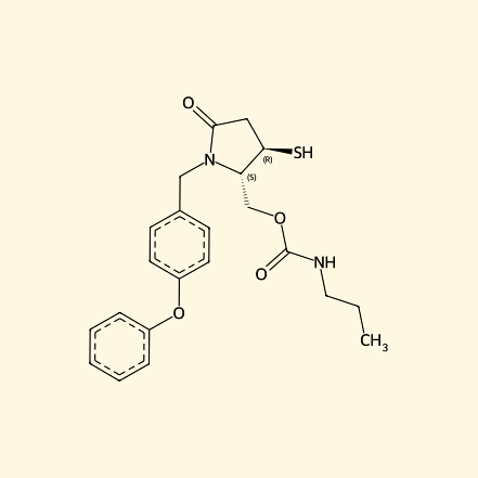 CCCNC(=O)OC[C@H]1[C@H](S)CC(=O)N1Cc1ccc(Oc2ccccc2)cc1